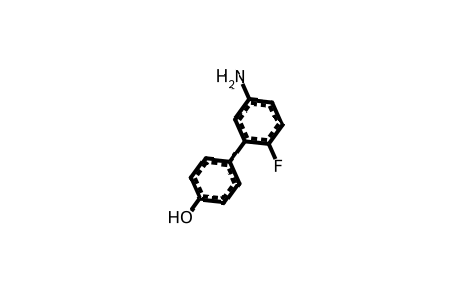 Nc1ccc(F)c(-c2ccc(O)cc2)c1